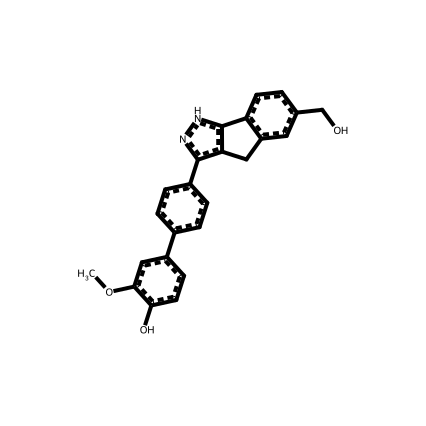 COc1cc(-c2ccc(-c3n[nH]c4c3Cc3cc(CO)ccc3-4)cc2)ccc1O